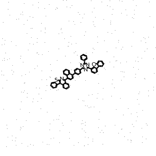 c1ccc(-c2nc(-c3ccc(-c4ccc(-c5nc6sc7ccccc7c6c6ccccc56)c5ccccc45)cc3)nc(-c3cccc4c3oc3ccccc34)n2)cc1